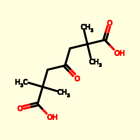 CC(C)(CC(=O)CC(C)(C)C(=O)O)C(=O)O